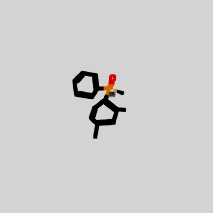 Cc1ccc([P@](C)(=O)c2ccccc2)c(C)c1